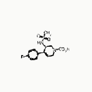 CS(=O)(=O)NC1CN(C(=O)O)CC=C1c1ccc(F)cc1